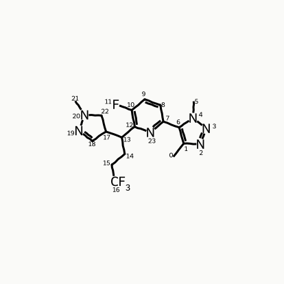 Cc1nnn(C)c1-c1ccc(F)c(C(CCC(F)(F)F)C2C=NN(C)C2)n1